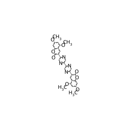 COc1cc(OC)c2cc(-c3cnc(-c4cnc(-c5cc6c(OC)cc(OC)cc6oc5=O)cn4)cn3)c(=O)oc2c1